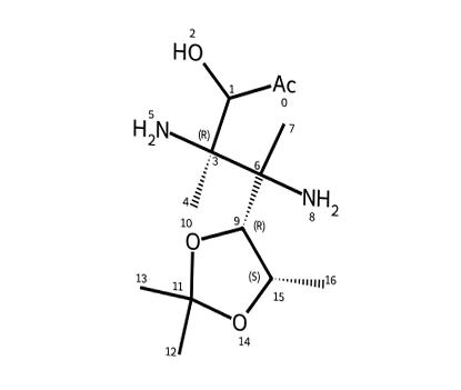 CC(=O)C(O)[C@](C)(N)C(C)(N)[C@H]1OC(C)(C)O[C@H]1C